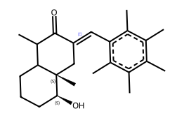 Cc1c(C)c(C)c(/C=C2\C[C@@]3(C)C(CCC[C@@H]3O)C(C)C2=O)c(C)c1C